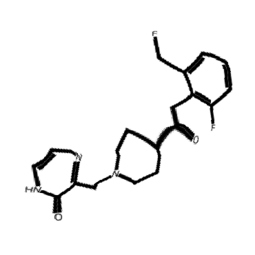 O=C(Cc1c(F)cccc1CF)C1CCN(Cc2ncc[nH]c2=O)CC1